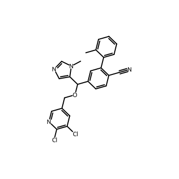 Cc1ccccc1-c1cc(C(OCc2cnc(Cl)c(Cl)c2)c2cncn2C)ccc1C#N